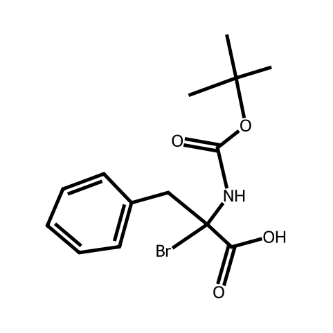 CC(C)(C)OC(=O)NC(Br)(Cc1ccccc1)C(=O)O